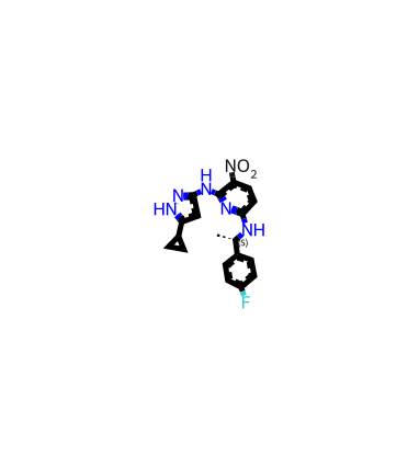 C[C@H](Nc1ccc([N+](=O)[O-])c(Nc2cc(C3CC3)[nH]n2)n1)c1ccc(F)cc1